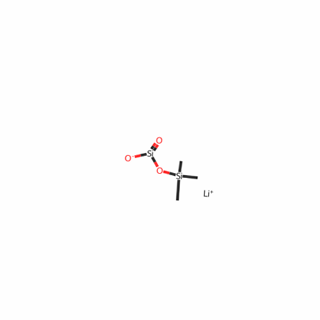 C[Si](C)(C)O[Si](=O)[O-].[Li+]